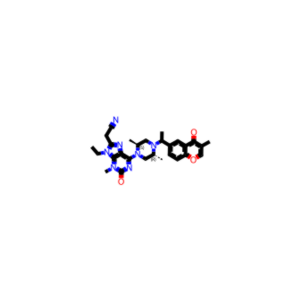 CCn1c(CC#N)nc2c(N3C[C@@H](C)N(C(C)c4ccc5occ(C)c(=O)c5c4)C[C@@H]3C)nc(=O)n(C)c21